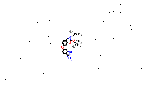 CC(C)CCN(Cc1ccc(Oc2ccc3c(N)n[nH]c3c2)cc1)C(=O)OC(C)(C)C